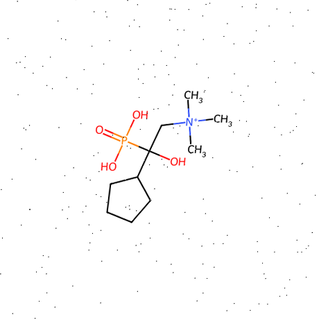 C[N+](C)(C)CC(O)(C1CCCC1)P(=O)(O)O